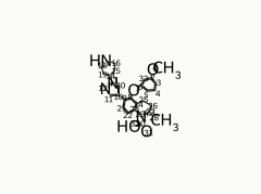 COc1cccc(Oc2c(-c3cnn(C4CCNCC4)c3)ccc3c2CC[C@H](C)N3C(=O)O)c1